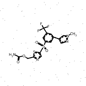 Cn1cc(-c2cc(C(F)(F)F)cc(S(=O)(=O)c3cnc(COC(N)=O)s3)c2)cn1